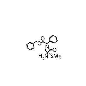 CS[C@]1(N)CN(C(C(=O)OCc2ccccc2)c2ccccc2)C1=O